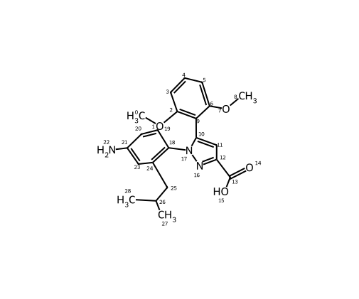 COc1cccc(OC)c1-c1cc(C(=O)O)nn1-c1ccc(N)cc1CC(C)C